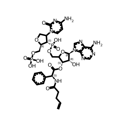 C=CCCC(=O)N[C@H](C(=O)O[C@@H]1C(COP(=O)(O)[C@H]2C(n3ccc(N)nc3=O)CO[C@@H]2COP(=O)(O)O)O[C@@H](n2cnc3c(N)ncnc32)[C@@H]1O)c1ccccc1